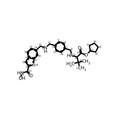 CC(C)(C)C(NCc1ccc(CNCc2ccc3cc(C(=O)NO)sc3c2)cc1)C(=O)OC1CCCC1